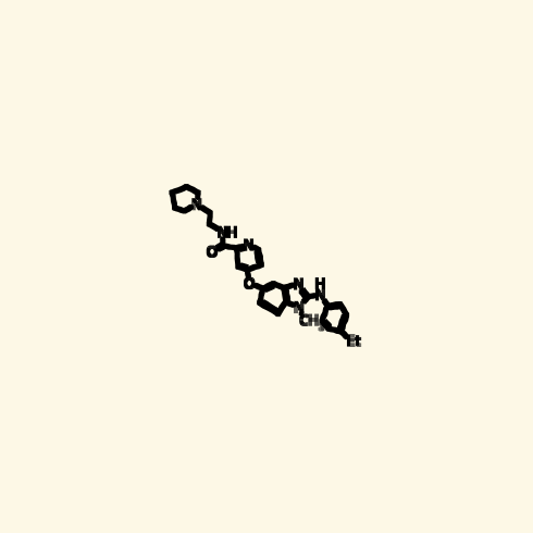 CCc1ccc(Nc2nc3cc(Oc4ccnc(C(=O)NCCN5CCCCC5)c4)ccc3n2C)cc1